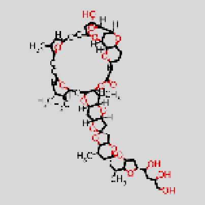 C=C1C[C@@H]2CCC34C[C@H](O)[C@@H](O3)[C@H]3C[C@@H](O4)[C@H]4O[C@H](CCC4O3)CC(=O)O[C@H]3C(C[C@H]4O[C@@H](CCC1O2)C[C@@H](C)C4=C)O[C@H]1C[C@H]2O[C@@]4(CC5O[C@]6(C[C@H](C)C7O[C@H](C(O)CC(O)CO)CC7O6)C[C@H](C)C5O4)C[C@H]2O[C@H]1[C@@H]3C